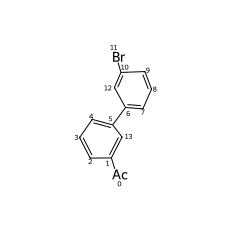 CC(=O)c1cccc(-c2cccc(Br)c2)c1